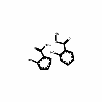 CC(C)(C)OC(=O)c1ccccc1O.CC(C)COC(=O)c1ccccc1O